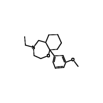 CCN1CCOC2(c3cccc(OC)c3)CCCCC2C1